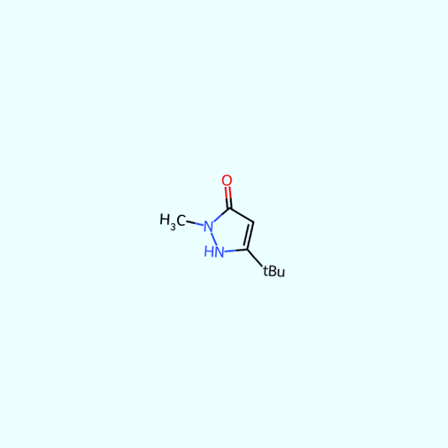 Cn1[nH]c(C(C)(C)C)cc1=O